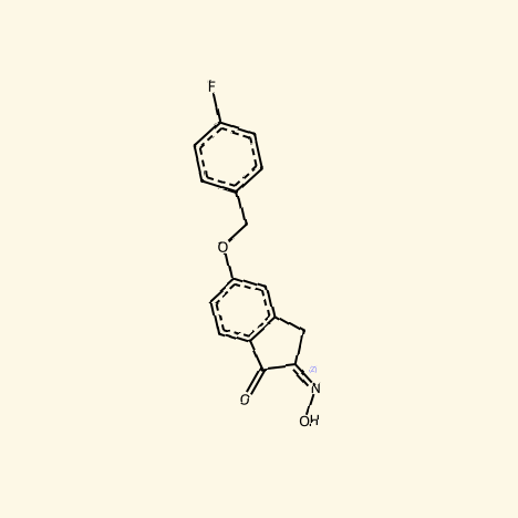 O=C1/C(=N\O)Cc2cc(OCc3ccc(F)cc3)ccc21